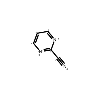 N#CC1=[N+]C=CC=N1